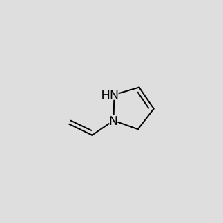 C=CN1CC=CN1